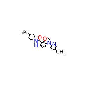 CCC[C@H]1CC[C@H](NC(=O)c2cccc3c2OCCN3c2ccc(C)cn2)CC1